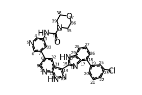 O=C(Nc1cncc(-c2cnc3[nH]nc(-c4nc5c(-c6cccc(Cl)c6)cccc5[nH]4)c3c2)c1)N1CCOCC1